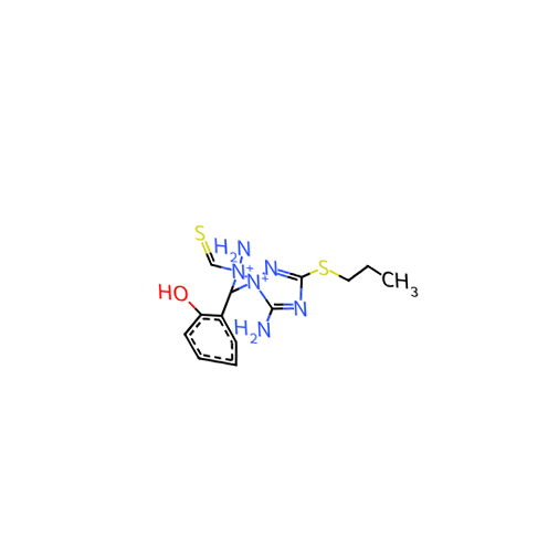 CCCSC1=N[N+]2(C(N)=N1)C(c1ccccc1O)[N+]2(N)C=S